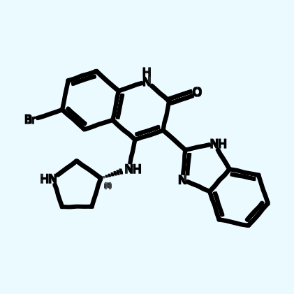 O=c1[nH]c2ccc(Br)cc2c(N[C@@H]2CCNC2)c1-c1nc2ccccc2[nH]1